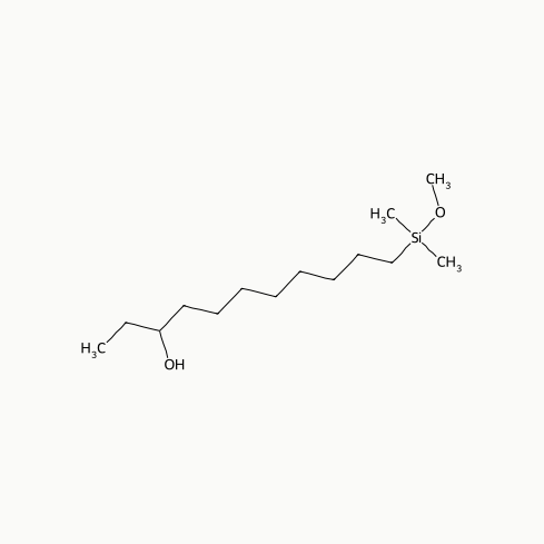 CCC(O)CCCCCCCC[Si](C)(C)OC